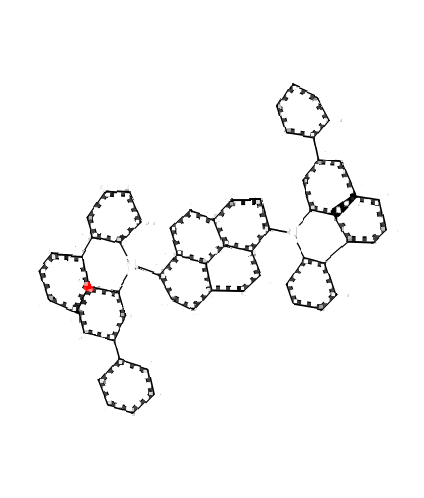 c1ccc(-c2cccc(N(c3ccccc3-c3ccccc3)c3ccc4ccc5c(N(c6cccc(-c7ccccc7)c6)c6ccccc6-c6ccccc6)ccc6ccc3c4c65)c2)cc1